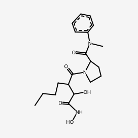 CCCCC(C(=O)N1CCCC1C(=O)N(C)c1ccccc1)C(O)C(=O)NO